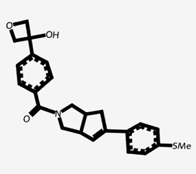 CSc1ccc(C2=CC3CN(C(=O)c4ccc(C5(O)COC5)cc4)CC3C2)cc1